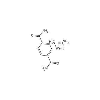 CCCC(C)C.N.N.NC(=O)c1ccc(C(N)=O)cc1